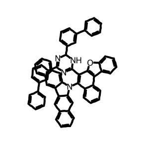 c1ccc(-c2cccc(C3=NC(c4cccc(-c5ccccc5)c4)NC(c4c(-n5c6cc7ccccc7cc6c6cc7ccccc7cc65)c5ccccc5c5c4oc4ccccc45)=N3)c2)cc1